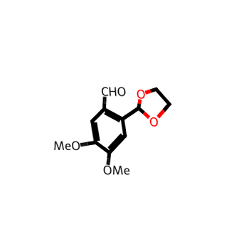 COc1cc(C=O)c(C2OCCO2)cc1OC